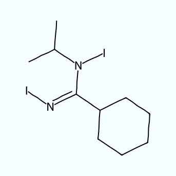 CC(C)N(I)/C(=N\I)C1CCCCC1